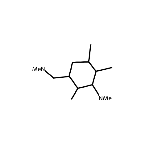 CNCC1CC(C)C(C)C(NC)C1C